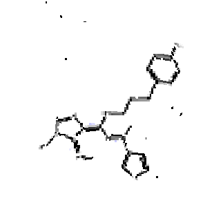 C\N=C1/C(=C(\N=C(/C)c2ccoc2)NCCCc2ccc(N=O)cc2)N=CN1C(C)C